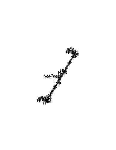 CC(=O)COCCOCCOCC(=O)NC(COCCC(=O)NCCOCCOCCOCCOC[C@H]1OC[C@H](Nc2nccc(C(F)(F)F)n2)[C@H]2OC(C)(C)O[C@H]21)COCCC(=O)NCCOCCOCCOCCOC[C@H]1OC[C@H](Nc2nccc(C(F)(F)F)n2)[C@H]2OC(C)(C)O[C@H]21